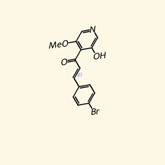 COc1cncc(O)c1C(=O)/C=C/c1ccc(Br)cc1